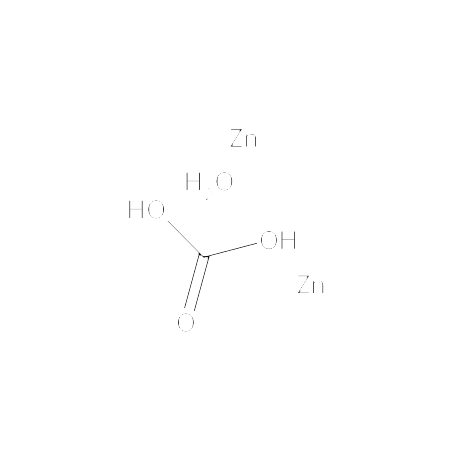 O.O=C(O)O.[Zn].[Zn]